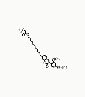 C=CC(=O)OCCCCCCCCCCCc1ccc2cc(-c3ccc(CCCCC)cc3OC(F)(F)F)c(=O)oc2c1